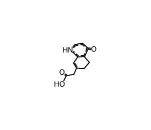 O=C(O)CC1=Cc2[nH]ccc(=O)c2CC1